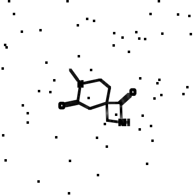 CN1CCC2(CNC2=O)CC1=O